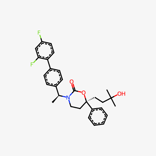 C[C@@H](c1ccc(-c2ccc(F)cc2F)cc1)N1CC[C@](CCC(C)(C)O)(c2ccccc2)OC1=O